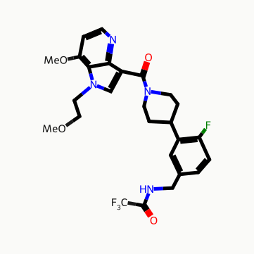 COCCn1cc(C(=O)N2CCC(c3cc(CNC(=O)C(F)(F)F)ccc3F)CC2)c2nccc(OC)c21